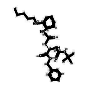 CCCCCNc1ccccc1NC(=O)C[C@H](NC(=O)OC(C)(C)C)C(=O)OCc1ccccc1